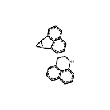 c1cc2c3c(cccc3c1)N1CC21.c1cc2c3c(cccc3c1)NCC2